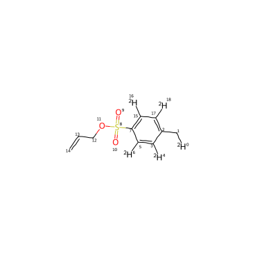 [2H]Cc1c([2H])c([2H])c(S(=O)(=O)OCC=C)c([2H])c1[2H]